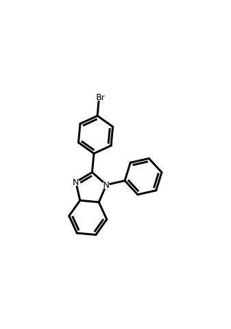 Brc1ccc(C2=NC3C=CC=CC3N2c2ccccc2)cc1